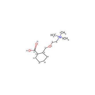 C[N+](C)(C)CCOCC1CCCCC1C(=O)[O-]